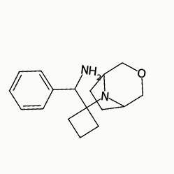 NC(c1ccccc1)C1(N2C3CCC2COC3)CCC1